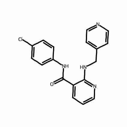 O=C(Nc1ccc(Cl)cc1)c1cccnc1NCc1ccncc1